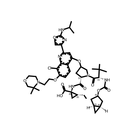 CC[C@@H]1C[C@]1(NC(=O)[C@@H]1CC(Oc2cc(-c3coc(NC(C)C)n3)nc3c(Cl)c(OCCN4CCOCC4(C)C)ccc23)CN1C(=O)[C@@H](NC(=O)O[C@@H]1C[C@@H]2C[C@@H]2C1)C(C)(C)C)C(=O)O